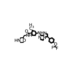 Cc1cc(Nc2nccn3c(-c4ccc(OC(F)F)cc4)cnc23)ccc1C(=O)NCC1CNCCO1